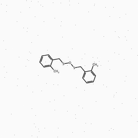 Cc1ccccc1CSOSCc1ccccc1C